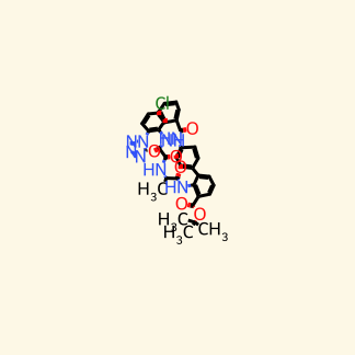 CC(NC(=O)C(=O)Nc1cc(Cl)ccc1-n1cnnn1)C(=O)Nc1c(C(=O)OC(C)(C)C)cccc1-c1ccc(NC(=O)c2ccccc2)cc1